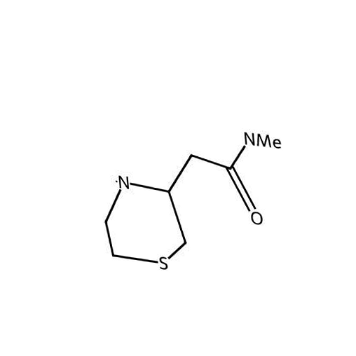 CNC(=O)CC1CSCC[N]1